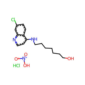 Cl.O=[N+]([O-])O.OCCCCCCCNc1ccnc2cc(Cl)ccc12